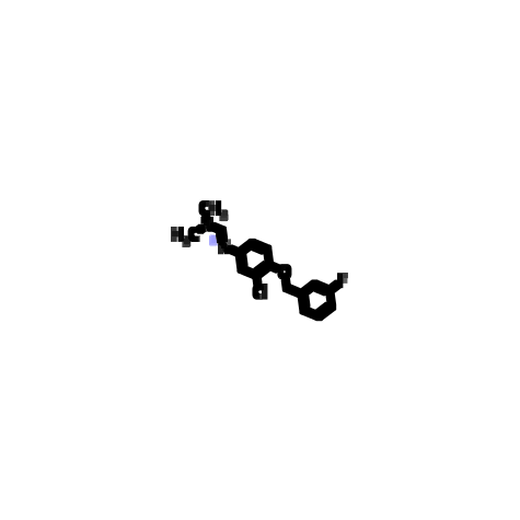 CN(C)/C=N/c1ccc(OCc2cccc(F)c2)c(Cl)c1